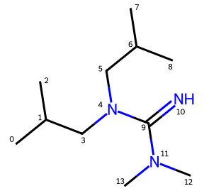 CC(C)CN(CC(C)C)C(=N)N(C)C